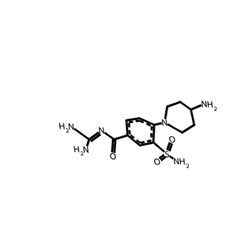 NC(N)=NC(=O)c1ccc(N2CCC(N)CC2)c(S(N)(=O)=O)c1